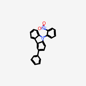 O=[N+]([O-])c1ccccc1-n1c2ccccc2c2cc(-c3ccccc3)ccc21